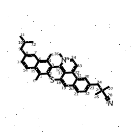 Cc1c2c(c(C)c3cc(CC(C)C)ccc13)-c1c3c(cc4ccc(CC(C)(C)C#N)cc4c3cc[n+]1C)S2